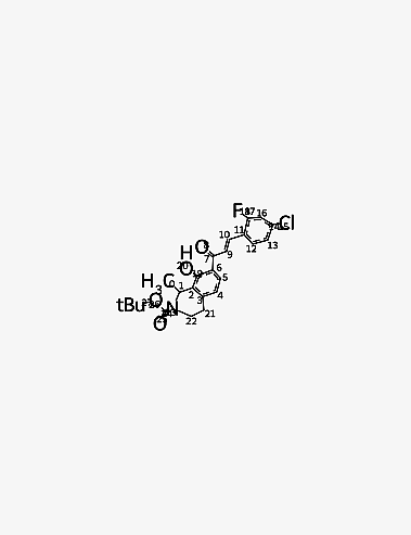 CC1c2c(ccc(C(=O)C=Cc3ccc(Cl)cc3F)c2O)CCN1C(=O)OC(C)(C)C